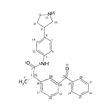 C[C@H](C(=O)Nc1ccc(C2CCNC2)cc1)c1cccc(C(=O)c2ccccc2)c1